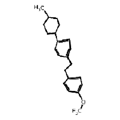 CC1CCC(c2ccc(CCc3ccc(OC(F)(F)F)cc3)cc2)CC1